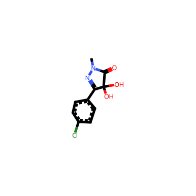 CN1N=C(c2ccc(Cl)cc2)C(O)(O)C1=O